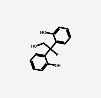 CCC(CO)(c1ccccc1O)c1ccccc1O